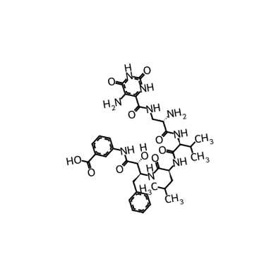 CC(C)C[C@H](NC(=O)[C@@H](NC(=O)[C@@H](N)CNC(=O)c1[nH]c(=O)[nH]c(=O)c1N)C(C)C)C(=O)N[C@@H](Cc1ccccc1)[C@@H](O)C(=O)Nc1cccc(C(=O)O)c1